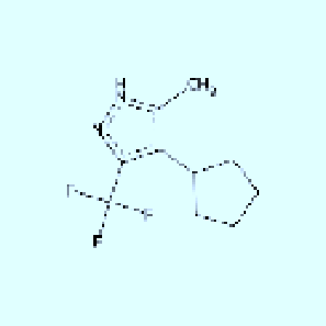 Cc1[nH]nc(C(F)(F)F)c1C1CCCC1